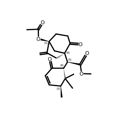 C=C1C[C@]2([C@@H](C(=O)OC)[C@H]3C(=O)C=C[C@H](C)C3(C)C)C[C@@]1(OC(C)=O)CCC2=O